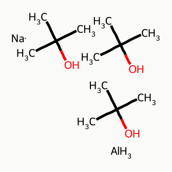 CC(C)(C)O.CC(C)(C)O.CC(C)(C)O.[AlH3].[Na]